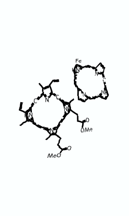 C1=Cc2cc3ccc(cc4nc(cc5ccc(cc1n2)[nH]5)C=C4)[nH]3.C=CC1=C(C)c2cc3[nH]c(cc4nc(cc5[nH]c(cc1n2)c(C)c5CCC(=O)OC)C(CCC(=O)OC)=C4C)c(C)c3C=C.[Fe]